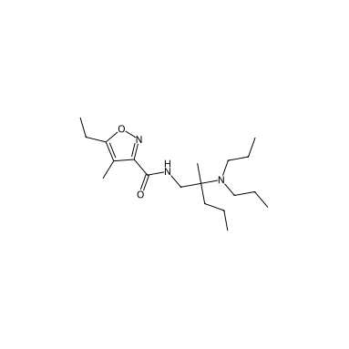 CCCN(CCC)C(C)(CCC)CNC(=O)c1noc(CC)c1C